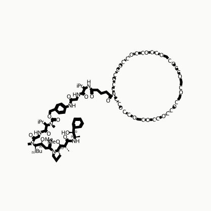 CC[C@H](C)C([C@@H](CC(=O)N1CCC[C@H]1[C@H](OC)[C@@H](C)C(=O)N[C@H](C)[C@@H](O)c1ccccc1)OC)N(C)C(=O)CNC(=O)C(C(C)C)N(C)C(=O)OCc1ccc(NC(=O)CNC(=O)C(NC(=O)CCCC(=O)N2CCOCCOCCOCCOCCOCCOCCOCCOCCOCCOCCOCCOCCOCC2)C(C)C)cc1